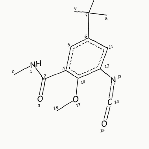 CNC(=O)c1cc(C(C)(C)C)cc(N=C=O)c1OC